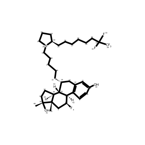 C[C@]12C[C@H](F)[C@@H]3c4ccc(O)cc4C[C@@H](CCCCCN4CCC[C@H]4CCCCCCC(F)(F)C(F)(F)F)[C@H]3[C@@H]1CC[C@@]2(C)O